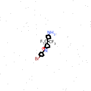 Nc1ccc(C(C2C=c3oc(-c4ccc(Br)cc4)nc3=CC2)(C(F)(F)F)C(F)(F)F)cc1